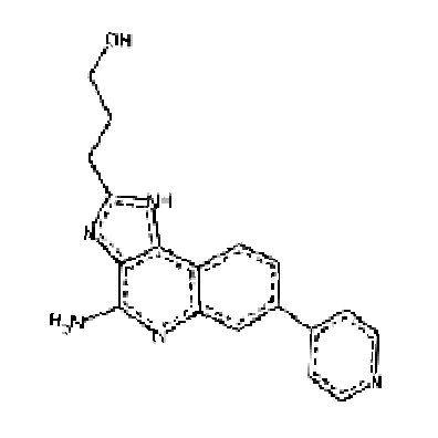 Nc1nc2cc(-c3ccncc3)ccc2c2[nH]c(CCCO)nc12